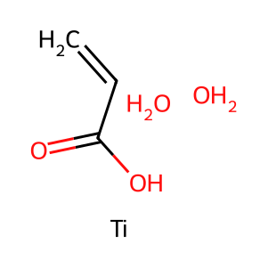 C=CC(=O)O.O.O.[Ti]